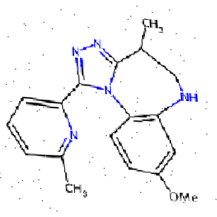 COc1ccc2c(c1)NCC(C)c1nnc(-c3cccc(C)n3)n1-2